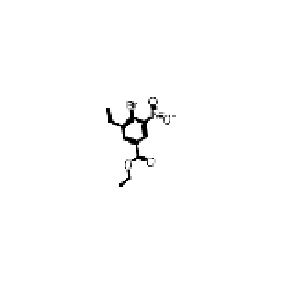 CCOC(=O)c1cc(CC)c(Br)c([N+](=O)[O-])c1